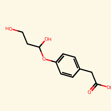 O=C(O)Cc1ccc(OC(O)CCO)cc1